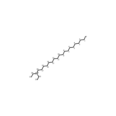 CCCCCCCCCCCCCCCCCCCN(CC)CC